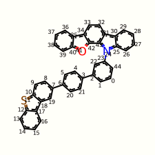 c1cc(-c2ccc(-c3ccc4sc5ccccc5c4c3)cc2)cc(-n2c3ccccc3c3ccc4c5ccccc5oc4c32)c1